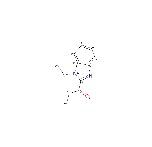 CCC(=O)c1nc2ccccc2n1CC